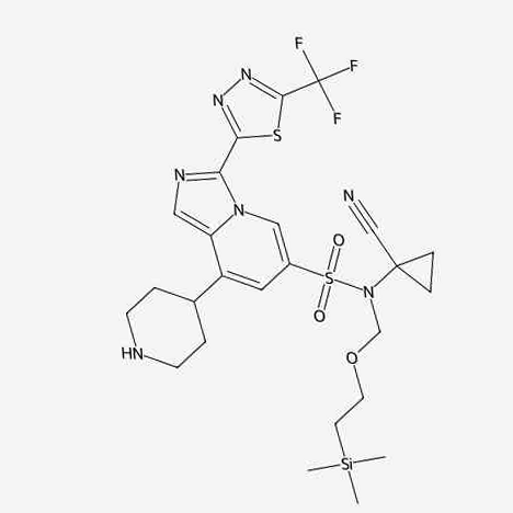 C[Si](C)(C)CCOCN(C1(C#N)CC1)S(=O)(=O)c1cc(C2CCNCC2)c2cnc(-c3nnc(C(F)(F)F)s3)n2c1